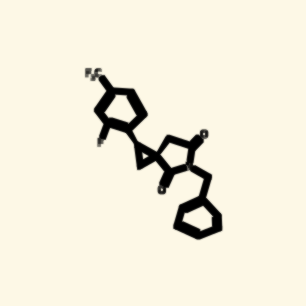 O=C1C[C@]2(C[C@H]2c2ccc(C(F)(F)F)cc2F)C(=O)N1Cc1ccccc1